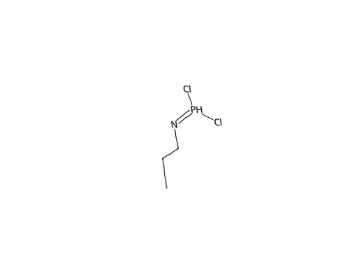 CCCN=[PH](Cl)Cl